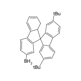 Bc1ccc2c(c1)C1(c3cc(C(C)(C)C)ccc3-c3ccc(C(C)(C)C)cc31)C1CC=CC=C21